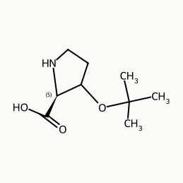 CC(C)(C)OC1CCN[C@@H]1C(=O)O